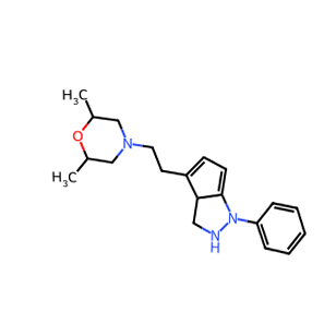 CC1CN(CCC2=CC=C3C2CNN3c2ccccc2)CC(C)O1